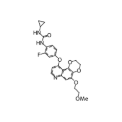 COCCOc1cc2nccc(Oc3ccc(NC(=O)NC4CC4)c(F)c3)c2c2c1OCCO2